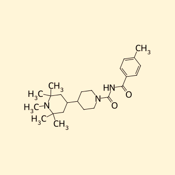 Cc1ccc(C(=O)NC(=O)N2CCC(C3CC(C)(C)N(C)C(C)(C)C3)CC2)cc1